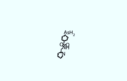 O=S(=O)(NCc1ccccn1)c1ccc([AsH2])cc1